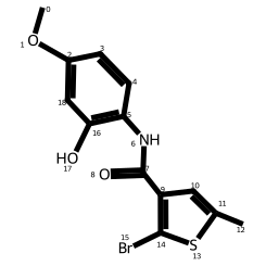 COc1ccc(NC(=O)c2cc(C)sc2Br)c(O)c1